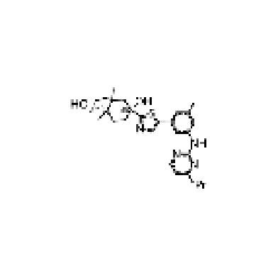 Cc1cc(Nc2nccc(C(C)C)n2)cc(-c2cnc([C@@]3(O)CC[C@](C)(C(=O)O)C(C)(C)C3)s2)c1